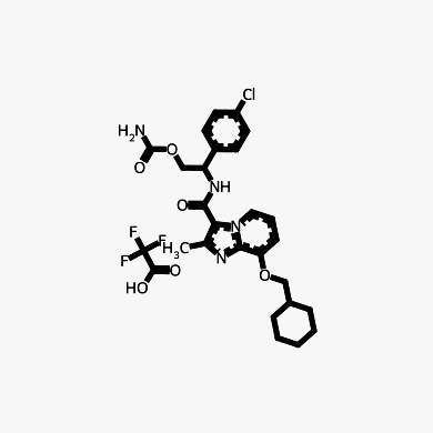 Cc1nc2c(OCC3CCCCC3)cccn2c1C(=O)NC(COC(N)=O)c1ccc(Cl)cc1.O=C(O)C(F)(F)F